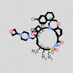 CO[C@@]1(CN2CCN(C3COC3)CC2)/C=C/[C@H](C)[C@H](C)[C@@H](C)S(=O)(=O)NC(=O)c2ccc3c(c2)N(C[C@@H]2CC[C@H]21)C[C@@]1(CCCc2cc(Cl)ccc21)CO3